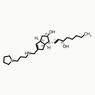 CCCCC[C@H](O)/C=C/[C@@H]1[C@H]2CC(CNCCCN3CCCC3)=C[C@H]2C[C@H]1O